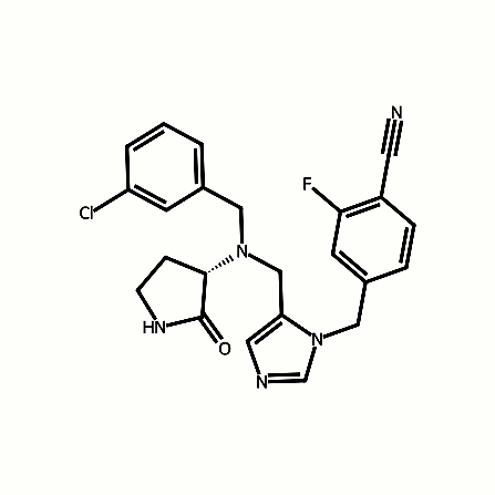 N#Cc1ccc(Cn2cncc2CN(Cc2cccc(Cl)c2)[C@H]2CCNC2=O)cc1F